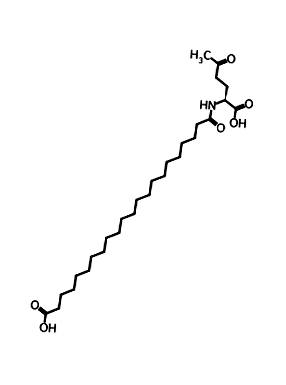 CC(=O)CC[C@H](NC(=O)CCCCCCCCCCCCCCCCCCCCC(=O)O)C(=O)O